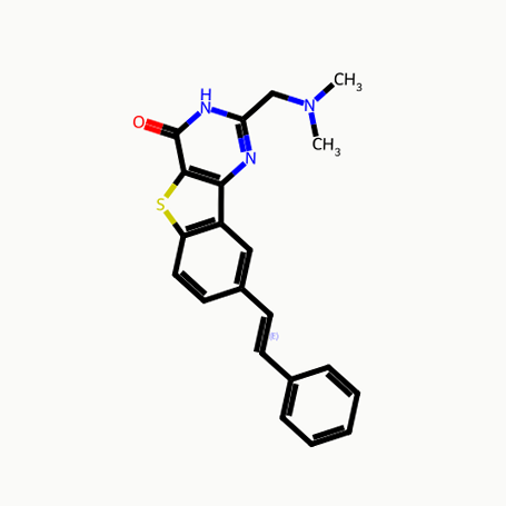 CN(C)Cc1nc2c(sc3ccc(/C=C/c4ccccc4)cc32)c(=O)[nH]1